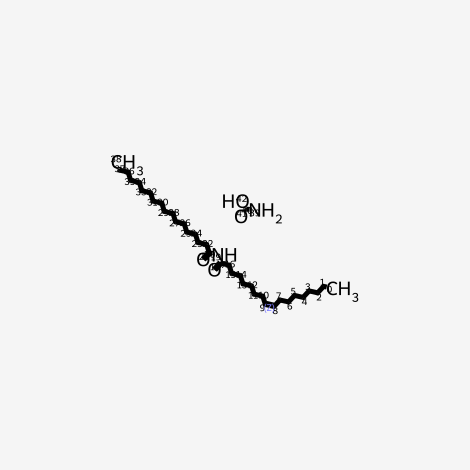 CCCCCCCC/C=C\CCCCCCCC(=O)NC(=O)CCCCCCCCCCCCCCCCC.NC(=O)O